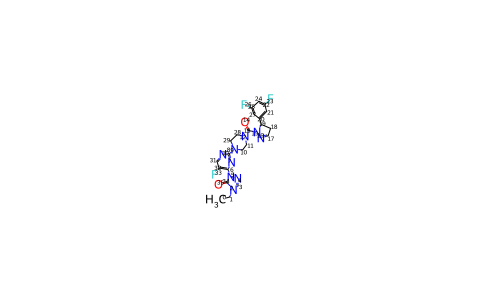 CCn1cnn(-c2nc(N3CCN(C(=O)N4N=CCC4c4cc(F)cc(F)c4)CC3)ncc2F)c1=O